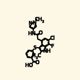 Cc1[nH]c2c(F)c(Cl)cc(CC(=O)Nc3cnn(C)c3)c2c1Sc1cccc(C(=O)O)c1